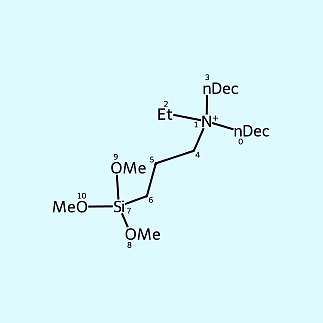 CCCCCCCCCC[N+](CC)(CCCCCCCCCC)CCC[Si](OC)(OC)OC